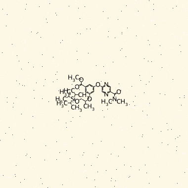 COC(=O)c1cc(Oc2cnc(C(=O)N(C)C)cn2)cc(O[C@@H](C)CO[Si](C(C)C)(C(C)C)C(C)C)c1